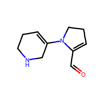 O=CC1=CCCN1C1=CCCNC1